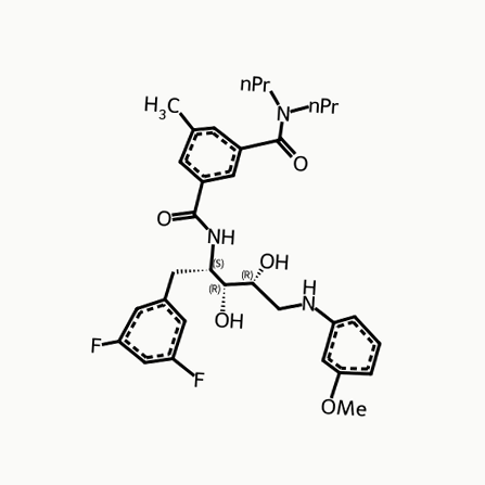 CCCN(CCC)C(=O)c1cc(C)cc(C(=O)N[C@@H](Cc2cc(F)cc(F)c2)[C@@H](O)[C@H](O)CNc2cccc(OC)c2)c1